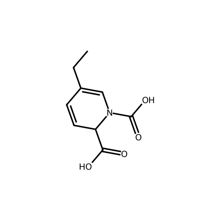 CCC1=CN(C(=O)O)C(C(=O)O)C=C1